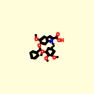 COc1cc2cc(C(=O)O)n(Sc3cc(OC)c(OC)c(OC)c3)c2cc1OCc1ccccc1